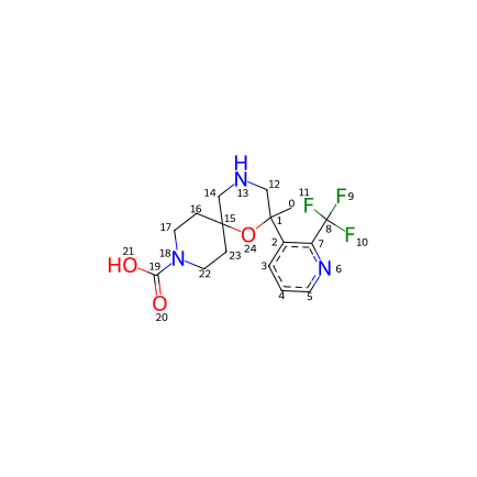 CC1(c2cccnc2C(F)(F)F)CNCC2(CCN(C(=O)O)CC2)O1